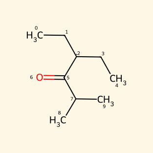 CC[C](CC)C(=O)C(C)C